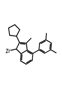 CC1=C(C2CCCC2)[CH]([Zr])c2cccc(-c3cc(C)cc(C)c3)c21